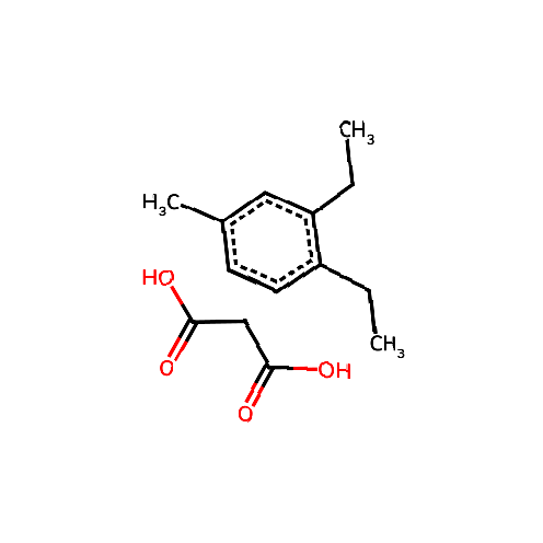 CCc1ccc(C)cc1CC.O=C(O)CC(=O)O